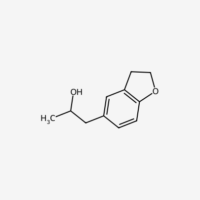 CC(O)Cc1ccc2c(c1)CCO2